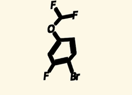 Fc1cc(OC(F)F)ccc1Br